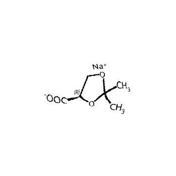 CC1(C)OC[C@H](C(=O)[O-])O1.[Na+]